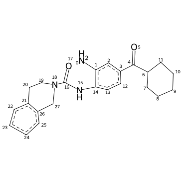 Nc1cc(C(=O)C2CCCCC2)ccc1NC(=O)N1CCc2ccccc2C1